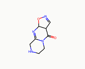 O=C1C2C=NOC2N=C2CNCCN12